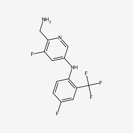 NCc1ncc(Nc2ccc(F)cc2C(F)(F)F)cc1F